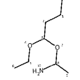 CCCC(OCC)OC(C)N